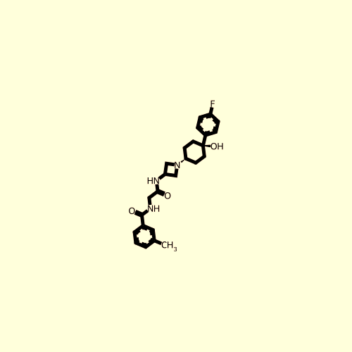 Cc1cccc(C(=O)NCC(=O)NC2CN([C@H]3CC[C@@](O)(c4ccc(F)cc4)CC3)C2)c1